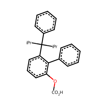 CC(C)C(c1ccccc1)(c1cccc(OC(=O)O)c1-c1ccccc1)C(C)C